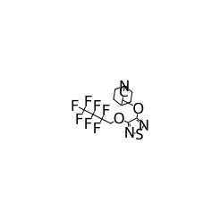 FC(F)(F)C(F)(F)C(F)(F)COc1nsnc1OC1CN2CCC1CC2